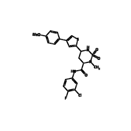 COc1ccc(-c2csc(C3CC(C(=O)Nc4ccc(F)c(Cl)c4)N(C)S(=O)(=O)N3)c2)cc1